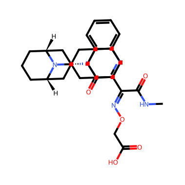 CNC(=O)/C(=N\OCC(=O)O)c1nc2ccccc2n([C@H]2C[C@H]3CCC[C@@H](C2)N3C2CC3CCCC(C3)C2)c1=O